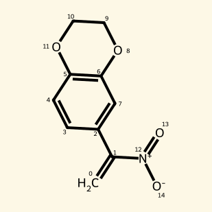 C=C(c1ccc2c(c1)OCCO2)[N+](=O)[O-]